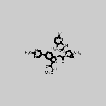 CONC(=O)c1nn(CC(=O)N2C3C[C@]3(C)C[C@H]2C(=O)Nc2nc(Br)ccc2C)c2ccc(-c3cnc(C)nc3)cc12